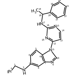 CC(C)CNc1ccc2c(c1)ncn2-c1ccnc(NC(C)c2ccccc2)n1